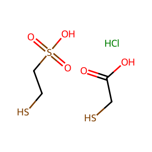 Cl.O=C(O)CS.O=S(=O)(O)CCS